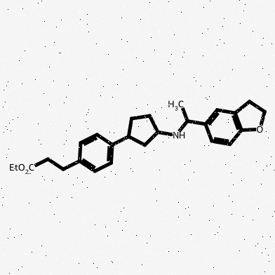 CCOC(=O)CCc1ccc(C2CCC(NC(C)c3ccc4c(c3)CCO4)C2)cc1